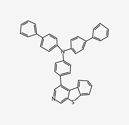 c1ccc(-c2ccc(N(c3ccc(-c4ccccc4)cc3)c3ccc(-c4cncc5sc6ccccc6c45)cc3)cc2)cc1